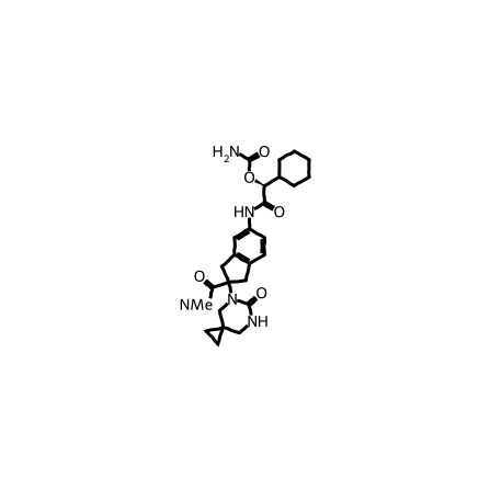 CNC(=O)C1(N2CC3(CC3)CNC2=O)Cc2ccc(NC(=O)[C@@H](OC(N)=O)C3CCCCC3)cc2C1